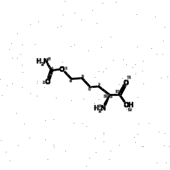 NC(=O)OCCCC[C@H](N)C(=O)O